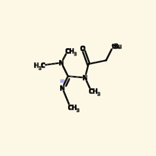 C/N=C(/N(C)C)N(C)C(=O)CC(C)(C)C